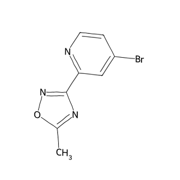 Cc1nc(-c2cc(Br)ccn2)no1